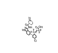 O=C(Nc1n[nH]c2ccc(-c3cc(Cl)ccc3C(F)(F)F)cc12)C1CCCNC1.O=C(O)C(F)(F)F